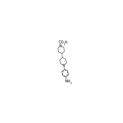 Nc1ccc(N2CCC(C3CCN(C(=O)O)CC3)CC2)cc1